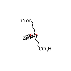 CCCCCCCCCCCCCCCCCC(=O)O.[O-2].[Zn+2].[Zn+2].[Zn+2]